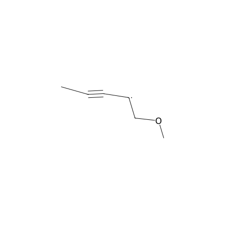 CC#C[CH]COC